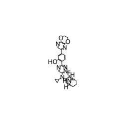 Oc1cc(-c2cnc3c(n2)OCCO3)ccc1-c1ncc(N(C2CC2)[C@H]2C[C@@H]3CCC[C@@H](N3)[C@H]2F)nn1